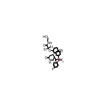 CCC(CC)(Oc1ccc(Cl)cc1[C@H]1CC(=O)N[C@@H](c2cc(F)ccc2C)[C@]12C(=O)Nc1cc(Cl)ccc12)C(=O)NCCO